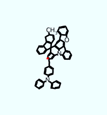 CC1C=CC2=C(C1)c1ccccc1C21c2ccc(-c3ccc(N(c4ccccc4)c4ccccc4)cc3)cc2-n2c3ccccc3c3c4oc5ccccc5c4cc1c32